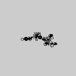 C[C@@H](NC(=O)OC(C)(C)C)C(=O)OC[C@H](COc1ccc(-c2c(C#N)c(N)nc(SCc3coc(-c4ccc(Cl)cc4)n3)c2C#N)cc1)OC(=O)[C@@H](C)NC(=O)OC(C)(C)C